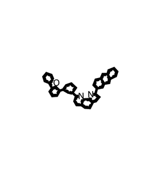 c1cc(-c2ccc3ccc4ccc(-c5ccc6cc7ccccc7cc6c5)nc4c3n2)cc(-c2cccc3c2oc2ccccc23)c1